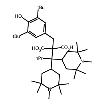 CCCC(C1CC(C)(C)N(C)C(C)(C)C1)(C1CC(C)(C)N(C)C(C)(C)C1)C(Cc1cc(C(C)(C)C)c(O)c(C(C)(C)C)c1)(C(=O)O)C(=O)O